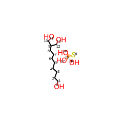 OCCCCCCCCC(CO)CO.OP(O)(O)=S